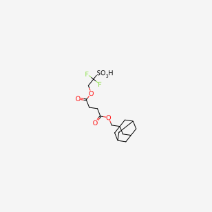 O=C(CCC(=O)OCC(F)(F)S(=O)(=O)O)OCC12CC3CC(CC(C3)C1)C2